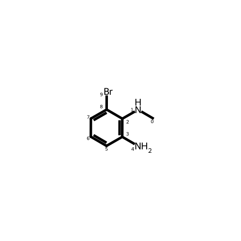 CNc1c(N)cccc1Br